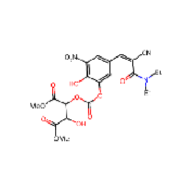 CCN(CC)C(=O)C(C#N)=Cc1cc(OC(=O)OC(C(=O)OC)C(O)C(=O)OC)c(O)c([N+](=O)[O-])c1